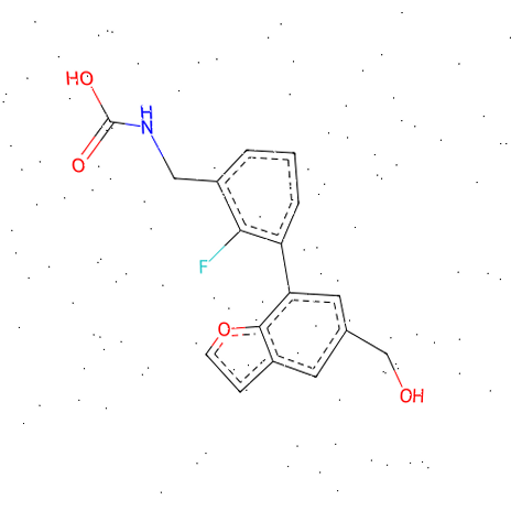 O=C(O)NCc1cccc(-c2cc(CO)cc3ccoc23)c1F